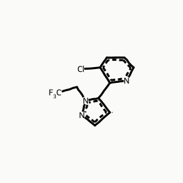 FC(F)(F)Cn1nc[c]c1-c1ncccc1Cl